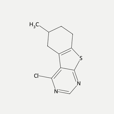 CC1CCc2sc3ncnc(Cl)c3c2C1